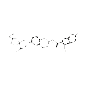 Cc1cnc2c(N)c(C(=O)NC3CCc4nc(N5CC(N)C6(C5)OCC5(CC5)O6)ccc4C3)sc2n1